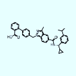 Cc1nn(Cc2ccc(-c3ccccc3C(=O)O)cc2)c2ccc(C(=O)N[C@H](c3cccc(C(C)C)c3)C3CC3)cc12